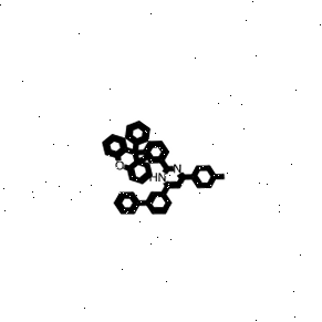 CC1CC=C(C2=NC(c3cccc(C4(c5ccccc5)c5ccccc5OC5=CC=CCC54C)c3)NC(C3C=C(c4ccccc4)C=CC3)=C2)CC1